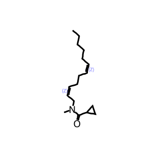 CCCCC/C=C\CC/C=C\CN(C)C(=O)C1CC1